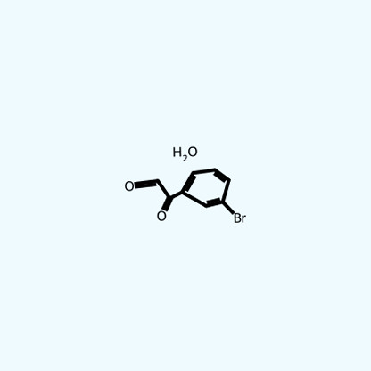 O.O=CC(=O)c1cccc(Br)c1